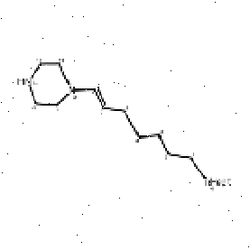 CCCCCCCCCCCCC=CN1CCNCC1